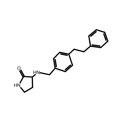 O=C1NCCC1NCc1ccc(CCc2ccccc2)cc1